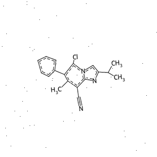 Cc1c(-c2ccccc2)c(Cl)n2cc(C(C)C)nc2c1C#N